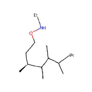 CCNOCC[C@H](C)C(C)C(C)C(C)C(C)C